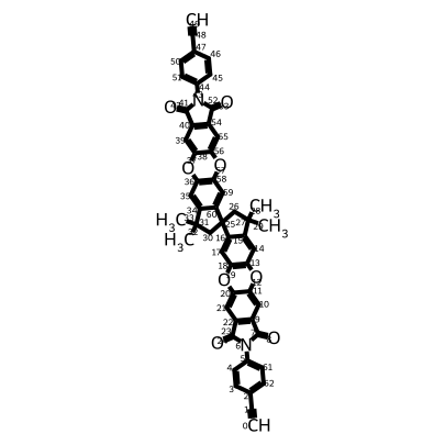 C#Cc1ccc(-n2c(=O)c3cc4oc5cc6c(cc5oc4cc3c2=O)C2(CC6(C)C)CC(C)(C)c3cc4oc5cc6c(=O)n(-c7ccc(C#C)cc7)c(=O)c6cc5oc4cc32)cc1